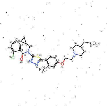 O=C(O)CC1CCN(CCOc2ccc(-c3nnc(N(CC4CC4)C(=O)c4ccccc4Cl)s3)c(C(F)(F)F)c2)CC1